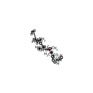 Cc1c(-c2ccc(N3CCc4cccc(C(=O)Nc5nc6ccccc6s5)c4C3)nc2C(=O)O)cnn1CC12CC3(C)CC(C)(C1)CC(OCCN(CCP(=O)(O)O)C(=O)OCc1ccc(N(C(=O)[C@@H](NC(=O)CCCCCN4C(=O)C=CC4=O)C(C)C)[C@@H](C)C(N)=O)cc1)(C3)C2